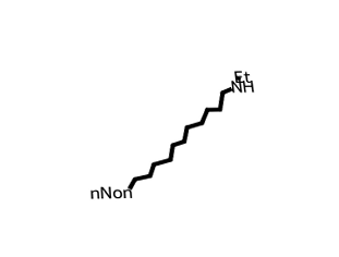 [CH2]CCCCCCCCCCCCCCCCCCCNC[CH2]